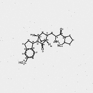 N#CC1CCCN1C(=O)C(N)CN1C[C@@H]2C[C@H]1C(=O)N2C1CCc2cc(C(=O)O)ccc21